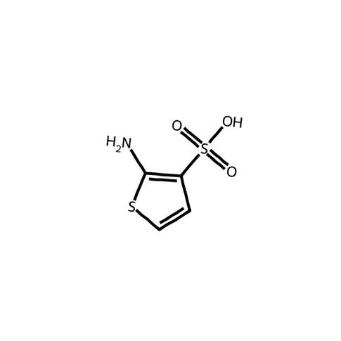 Nc1sccc1S(=O)(=O)O